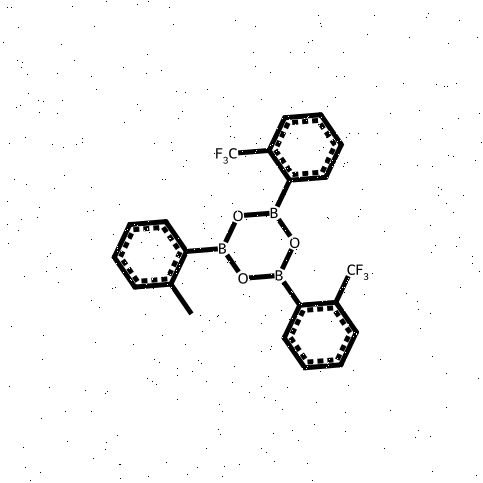 Cc1ccccc1B1OB(c2ccccc2C(F)(F)F)OB(c2ccccc2C(F)(F)F)O1